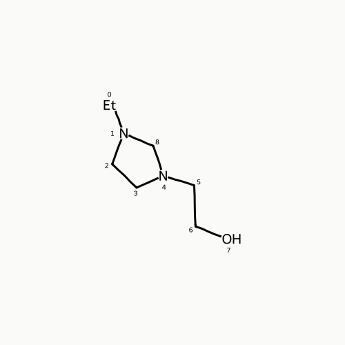 CCN1CCN(CCO)C1